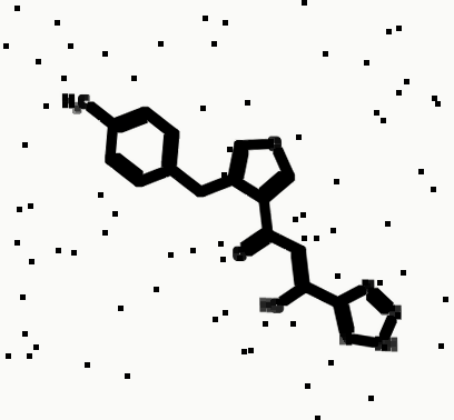 Cc1ccc(Cc2cocc2C(=O)C=C(O)c2nn[nH]n2)cc1